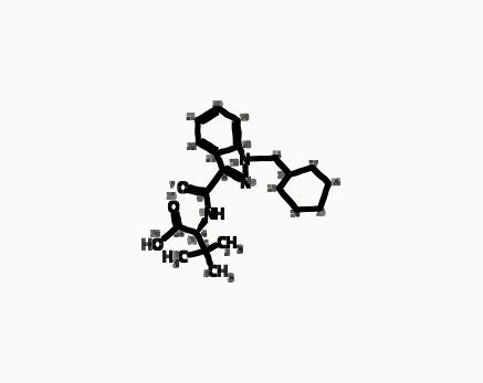 CC(C)(C)[C@H](NC(=O)c1nn(CC2CCCCC2)c2ccccc12)C(=O)O